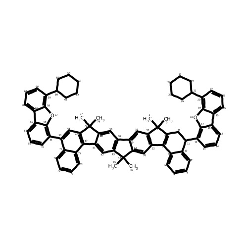 CC1(C)C2=C(c3ccccc3C(c3cccc4c3oc3c(C5CCCCC5)cccc34)C2)c2cc3c(cc21)-c1cc2c(cc1C3(C)C)-c1c(cc(-c3cccc4c3oc3c(C5CCCCC5)cccc34)c3ccccc13)C2(C)C